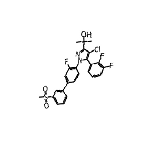 CC(C)(O)c1nn(-c2ccc(-c3cccc(S(C)(=O)=O)c3)cc2F)c(-c2cccc(F)c2F)c1Cl